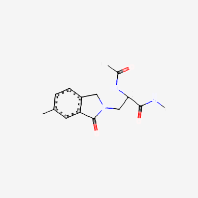 CCNC(=O)[C@@](C)(CN1Cc2ccc(C(=O)O)cc2C1=O)NC(=O)CC